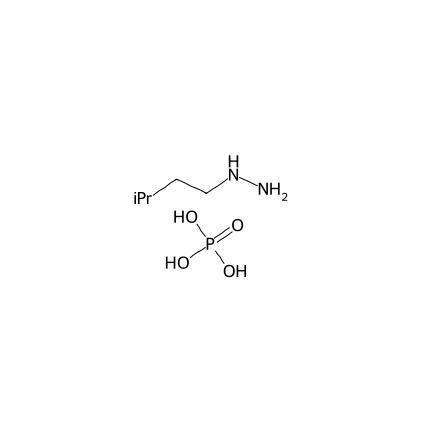 CC(C)CCNN.O=P(O)(O)O